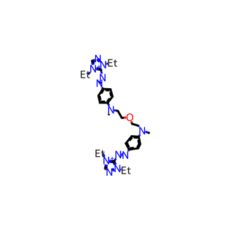 CCn1nc[n+](CC)c1N=Nc1ccc(N(C)CCOCCN(C)c2ccc(N=Nc3n(CC)nc[n+]3CC)cc2)cc1